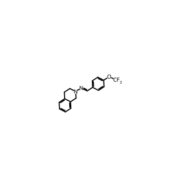 FC(F)(F)Oc1ccc(C=NN2CCc3ccccc3C2)cc1